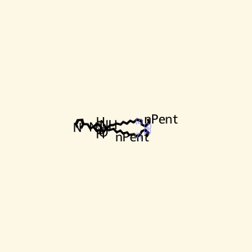 CCCCC/C=C\C/C=C\CCCCCCCCC1(CCCCCCCC/C=C\C/C=C\CCCCC)N[C@@H]2CN(CCc3cccnc3)C[C@H]2O1